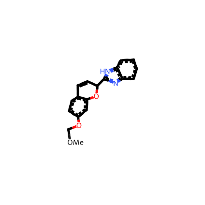 COCOc1ccc2c(c1)OC(c1nc3ccccc3[nH]1)C=C2